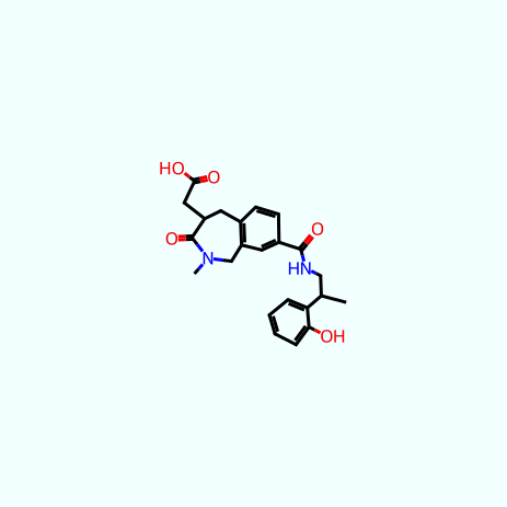 CC(CNC(=O)c1ccc2c(c1)CN(C)C(=O)C(CC(=O)O)C2)c1ccccc1O